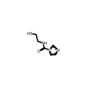 O=C(NCCS)n1ccnc1